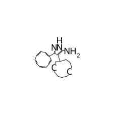 Nc1[nH]nc(-c2ccccccccc2)c1C1CCCCCCCCCC1